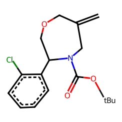 C=C1COCC(c2ccccc2Cl)N(C(=O)OC(C)(C)C)C1